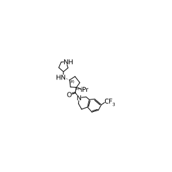 CC(C)[C@]1(C(=O)N2CCc3ccc(C(F)(F)F)cc3C2)CC[C@@H](NC2CCNC2)C1